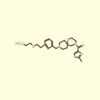 Cc1nc(C(=O)N2CCOC3(CCN(Cc4cccc(CCOCCC(=O)O)c4)CC3)C2)cs1